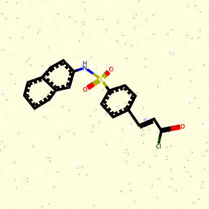 O=C(Cl)/C=C/c1ccc(S(=O)(=O)Nc2ccc3ccccc3c2)cc1